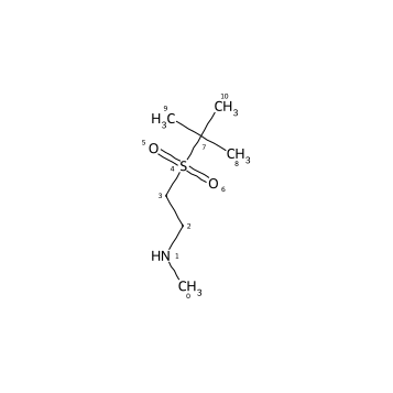 CNCCS(=O)(=O)C(C)(C)C